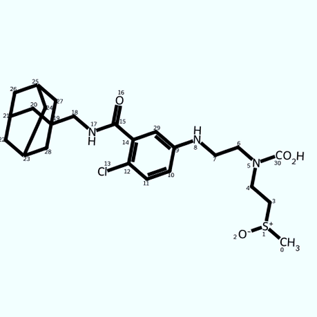 C[S+]([O-])CCN(CCNc1ccc(Cl)c(C(=O)NCC23CC4CC(CC(C4)C2)C3)c1)C(=O)O